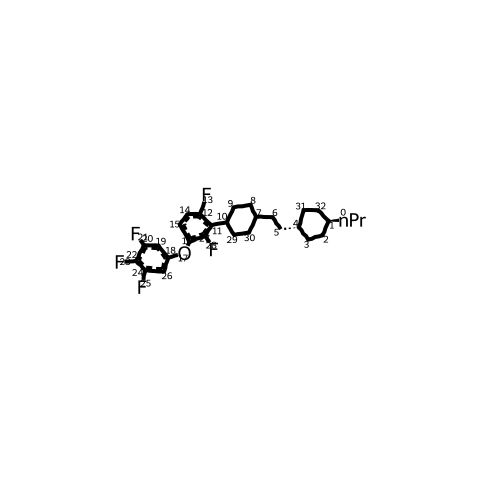 CCC[C@H]1CC[C@H](CCC2CCC(c3c(F)c[c]c(Oc4cc(F)c(F)c(F)c4)c3F)CC2)CC1